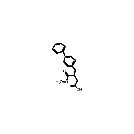 COC(=O)C(CC(=O)O)Cc1ccc(-c2ccccc2)cc1